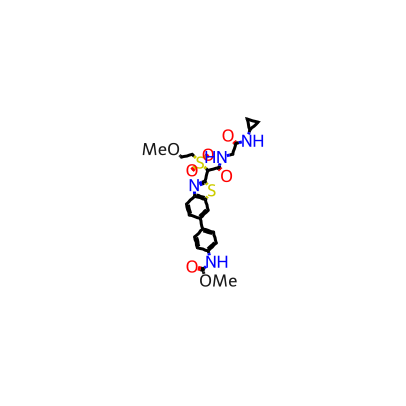 COCCS(=O)(=O)C(C(=O)NCC(=O)NC1CC1)c1nc2ccc(-c3ccc(NC(=O)OC)cc3)cc2s1